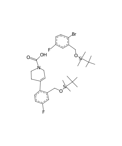 CC(C)(C)[Si](C)(C)OCc1cc(F)ccc1Br.CC(C)(C)[Si](C)(C)OCc1cc(F)ccc1C1=CCN(C(=O)O)CC1